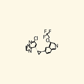 FC(F)(F)COc1cncc2ccc([C@H]3C[C@@H]3c3cc(Cl)nn4ccnc34)cc12